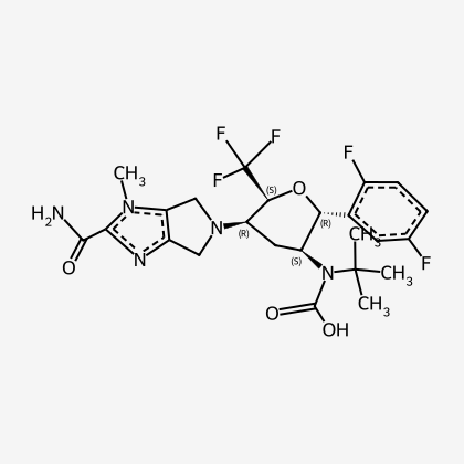 Cn1c(C(N)=O)nc2c1CN([C@@H]1C[C@H](N(C(=O)O)C(C)(C)C)[C@@H](c3cc(F)ccc3F)O[C@@H]1C(F)(F)F)C2